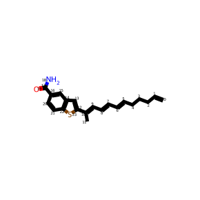 C=CCCCC=CC=CC=C(C)c1cc2cc(C(N)=O)ccc2s1